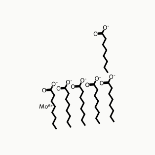 CCCCCCCC(=O)[O-].CCCCCCCC(=O)[O-].CCCCCCCC(=O)[O-].CCCCCCCC(=O)[O-].CCCCCCCC(=O)[O-].CCCCCCCC(=O)[O-].[Mo+6]